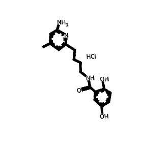 Cc1cc(N)nc(CCCCNC(=O)c2cc(O)ccc2O)c1.Cl